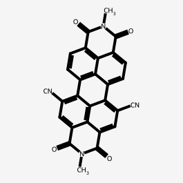 [C-]#[N+]c1cc2c3c(cc(C#N)c4c5ccc6c7c(ccc(c1c34)c75)C(=O)N(C)C6=O)C(=O)N(C)C2=O